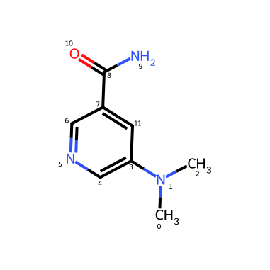 CN(C)c1cncc(C(N)=O)c1